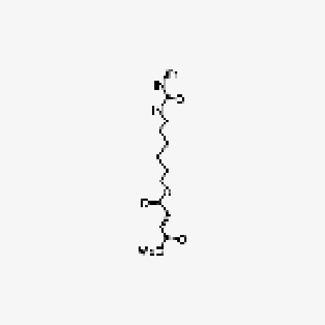 COC(=O)/C=C/C(=O)OCCCCCCNC(=O)NC(C)C